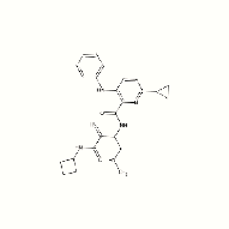 CNCC(NC(=O)c1nc(C2CC2)ccc1Nc1cncnc1)C(=N)C(=O)NC1CCC1